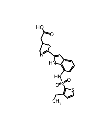 CCc1ccsc1S(=O)(=O)Nc1cccc2cc(C3=NCC(CC(=O)O)S3)[nH]c12